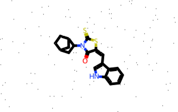 O=C1/C(=C\c2c[nH]c3ccccc23)SC(=S)N1C1CC2CCC1C2